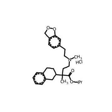 CC(C)OC(=O)C(C)(CCN(C)CCc1ccc2c(c1)OOC2)C1CCc2ccccc2C1.Cl